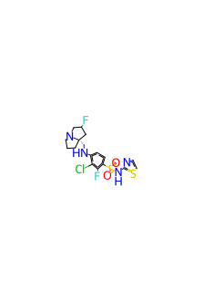 O=S(=O)(Nc1nccs1)c1ccc(NC[C@]23CCCN2C[C@@H](F)C3)c(Cl)c1F